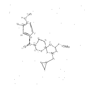 COCC1CN(CC2CC2)CC2(CCN(C(=O)c3ccc(OC(C)C)c(C)c3)CC2)O1